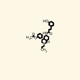 C=CCN1CC[C@@]2(c3cccc(OC(C)=O)c3)C[C@H](NC(=O)C=Cc3cccc(O)c3)CC[C@@H]2C1